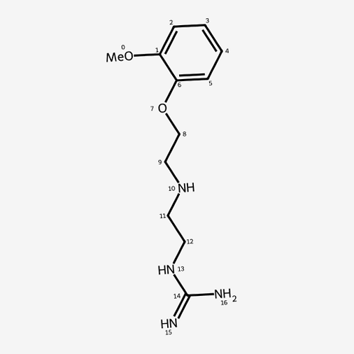 COc1ccccc1OCCNCCNC(=N)N